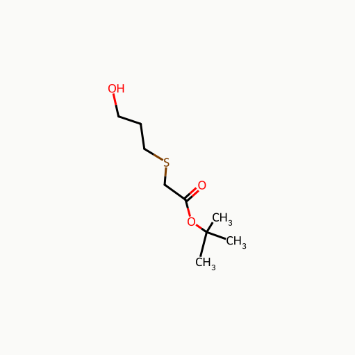 CC(C)(C)OC(=O)CSCCCO